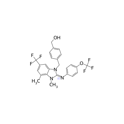 Cc1cc(C(F)(F)F)cc2c1n(C)/c(=N/c1ccc(OC(F)(F)F)cc1)n2Cc1ccc(CO)cc1